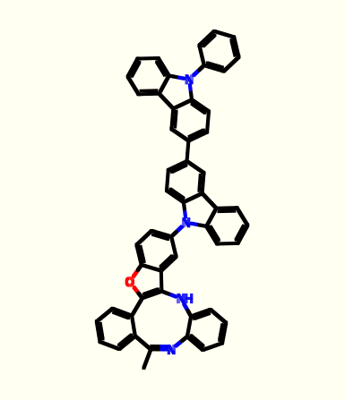 Cc1nc2ccccc2[nH]c2c3cc(-n4c5ccccc5c5cc(-c6ccc7c(c6)c6ccccc6n7-c6ccccc6)ccc54)ccc3oc2c2ccccc12